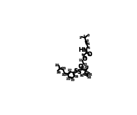 CC(C)C#CCNC(=O)COCCOC(SSc1cccc(CCC(C)C)c1)C(C)[Si](C)(C)C